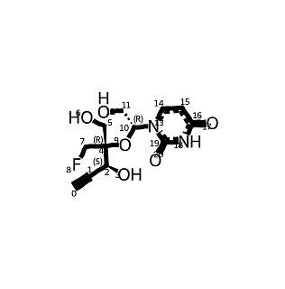 C#C[C@H](O)[C@](CO)(CF)O[C@H](CO)n1ccc(=O)[nH]c1=O